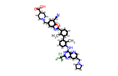 Cc1c(Nc2nc(C(F)(F)F)nc3cc(CN4CCCC4)cnc23)cccc1-c1cccc(-c2nc3cc(CN4CCC(C(=O)O)CC4)cc(C#N)c3o2)c1C